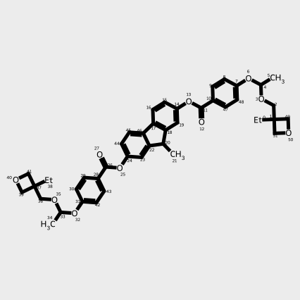 CCC1(COC(C)Oc2ccc(C(=O)Oc3ccc4c(c3)C(C)c3cc(OC(=O)c5ccc(OC(C)OCC6(CC)COC6)cc5)ccc3-4)cc2)COC1